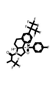 CC(C(=O)N1CC[C@]2(S(=O)(=O)c3ccc(F)cc3)c3ccc(C(F)(C(F)(F)F)C(F)(F)F)cc3CC[C@H]12)C(F)(F)F